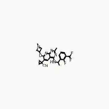 Cc1nc(NC(C)c2cccc(C(F)F)c2F)c2cc(C3(C#N)CC3)c(OC3CN(C)C3)nc2n1